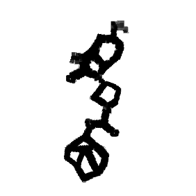 Nc1ccc2c(c1)[nH]c(=O)n2[C@@H]1CCN(C(=O)OC2C3CC4CC(C3)CC2C4)C1